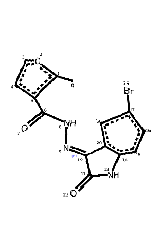 Cc1occc1C(=O)N/N=C1/C(=O)Nc2ccc(Br)cc21